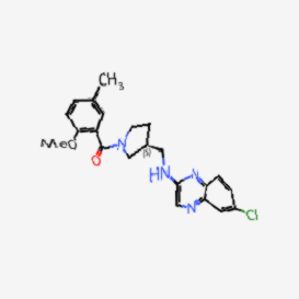 COc1ccc(C)cc1C(=O)N1CC[C@@H](CNc2cnc3cc(Cl)ccc3n2)C1